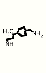 CC(CC=N)c1ccc(CN)cc1